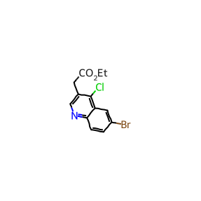 CCOC(=O)Cc1cnc2ccc(Br)cc2c1Cl